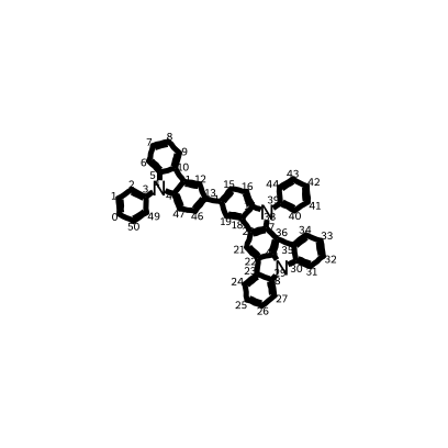 c1ccc(-n2c3ccccc3c3cc(-c4ccc5c(c4)c4cc6c7ccccc7n7c8ccccc8c(c4n5-c4ccccc4)c67)ccc32)cc1